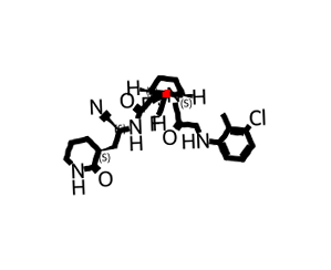 Cc1c(Cl)cccc1NCC(=O)N1[C@H]2CC[C@@H]([C@@H]1C(=O)N[C@H](C#N)C[C@@H]1CCCNC1=O)C(F)(F)C2